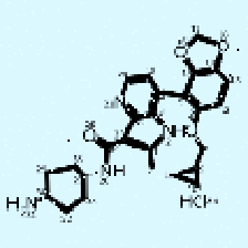 Cc1[nH]c2c(-c3c(OCC4CC4)ccc4c3OCO4)ccnc2c1C(=O)N[C@H]1CC[C@H](N)CC1.Cl